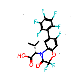 CC(C)[C@@H](C(=O)O)N1C(=O)C(F)(F)Oc2cc(F)c(-c3c(F)c(F)c(F)c(F)c3F)cc21